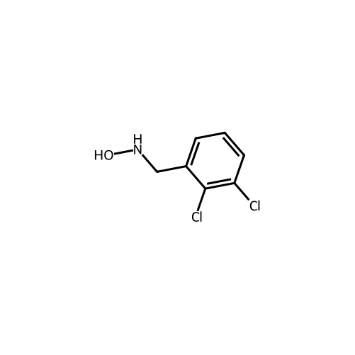 ONCc1cccc(Cl)c1Cl